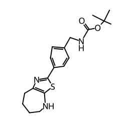 CC(C)(C)OC(=O)NCc1ccc(-c2nc3c(s2)NCCCC3)cc1